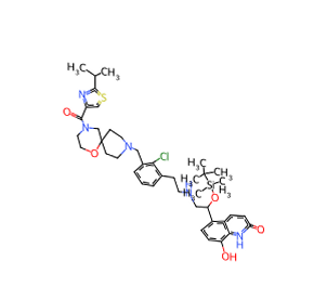 CC(C)c1nc(C(=O)N2CCOC3(CCN(Cc4cccc(CCNCC(O[Si](C)(C)C(C)(C)C)c5ccc(O)c6[nH]c(=O)ccc56)c4Cl)CC3)C2)cs1